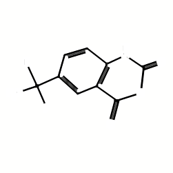 O=c1[nH]c2ccc(C(F)(F)C(F)(F)F)cc2c(=O)o1